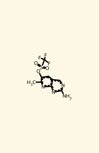 Cc1nc2nc(N)ncc2cc1OS(=O)(=O)C(F)(F)F